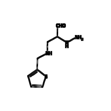 NNC(C=O)CNCc1cccs1